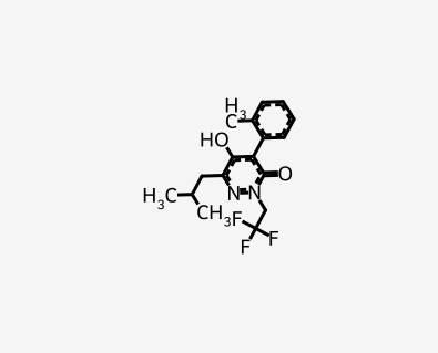 Cc1ccccc1-c1c(O)c(CC(C)C)nn(CC(F)(F)F)c1=O